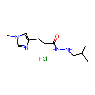 CC(C)CNNC(=O)CCc1cn(C)cn1.Cl